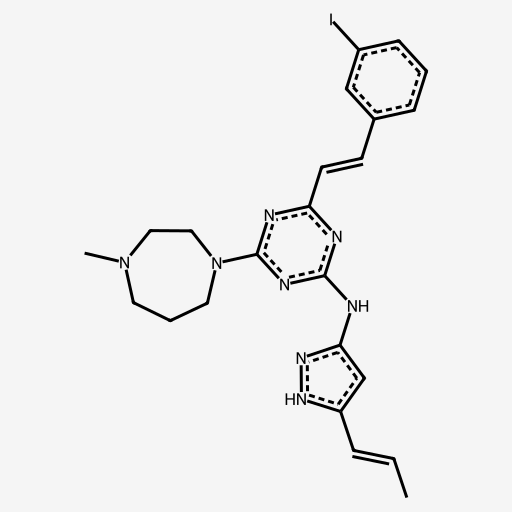 C/C=C/c1cc(Nc2nc(/C=C/c3cccc(I)c3)nc(N3CCCN(C)CC3)n2)n[nH]1